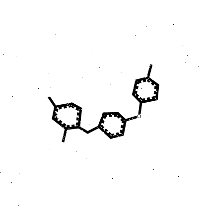 Cc1ccc(Oc2ccc(Cc3ccc(C)cc3C)cc2)cc1